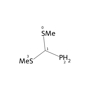 CSC(P)SC